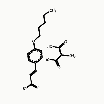 CC(C(=O)O)C(=O)O.CCCCCOc1ccc(C=CC(=O)O)cc1